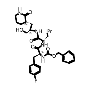 CC(C)C[C@H](NC(=O)[C@H](Cc1ccc(F)cc1)NC(=O)OCc1ccccc1)C(=O)N[C@H](CO)C[C@@H]1CCCNC1=O